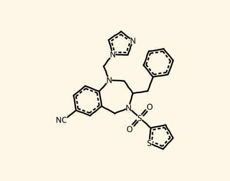 N#Cc1ccc2c(c1)CN(S(=O)(=O)c1cccs1)C(Cc1ccccc1)CN2Cn1ccnc1